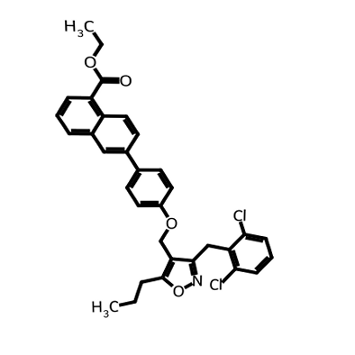 CCCc1onc(Cc2c(Cl)cccc2Cl)c1COc1ccc(-c2ccc3c(C(=O)OCC)cccc3c2)cc1